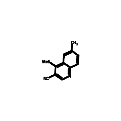 CSc1c(C#N)cnc2ccc(C)cc12